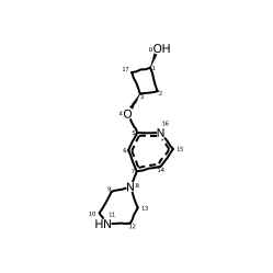 O[C@H]1C[C@@H](Oc2cc(N3CCNCC3)ccn2)C1